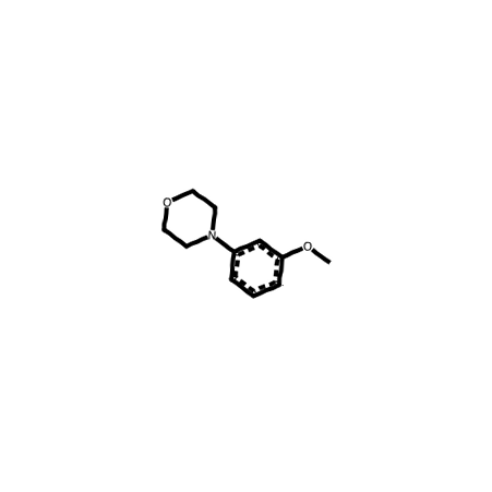 COc1[c]ccc(N2CCOCC2)c1